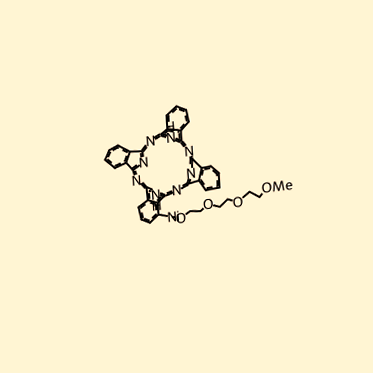 COCCOCCOCC[O][Ni][c]1cccc2c3nc4nc(nc5[nH]c(nc6nc(nc([nH]3)c12)-c1ccccc1-6)c1ccccc51)-c1ccccc1-4